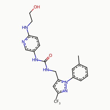 Cc1cccc(-n2nc(C(F)(F)F)cc2CNC(=O)Nc2ccc(NCCO)nc2)c1